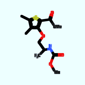 COC(=O)c1sc(C)c(C)c1OCC(NC(=O)OC(C)(C)C)C(F)(F)F